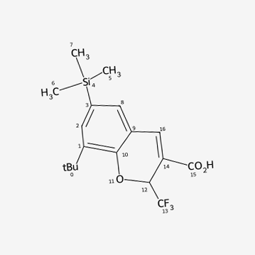 CC(C)(C)c1cc([Si](C)(C)C)cc2c1OC(C(F)(F)F)C(C(=O)O)=C2